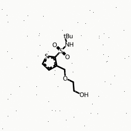 CC(C)(C)NS(=O)(=O)c1sccc1COCCO